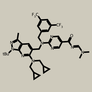 Cc1nn(C(C)(C)C)c2nc(N(CC3CC3)CC3CC3)c(CN(Cc3cc(C(F)(F)F)cc(C(F)(F)F)c3)c3ncc(C(=O)/N=C/N(C)C)cn3)cc12